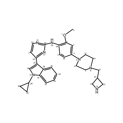 COc1cc(N2CCN(CC3CNC3)CC2)ccc1Nc1nccc(-c2cn(C3CC3)c3ccccc23)n1